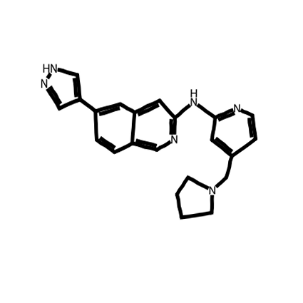 c1cc(CN2CCCC2)cc(Nc2cc3cc(-c4cn[nH]c4)ccc3cn2)n1